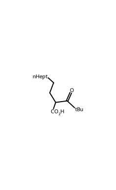 CCCCCCCCCC(C(=O)O)C(=O)C(C)(C)C